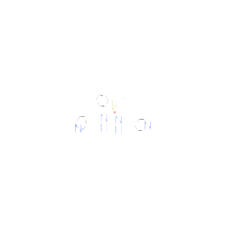 O=C(NCCc1ccncc1)C(NCCc1cccnc1)c1ccccc1C(F)(F)F